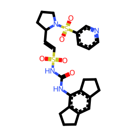 O=C(Nc1c2c(cc3c1CCC3)CCC2)NS(=O)(=O)/C=C/C1CCCN1S(=O)(=O)c1cccnc1